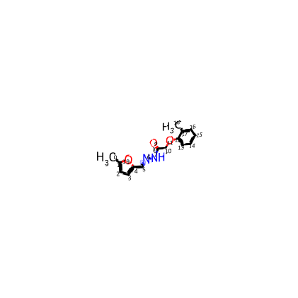 Cc1ccc(/C=N/NC(=O)COc2ccccc2C)o1